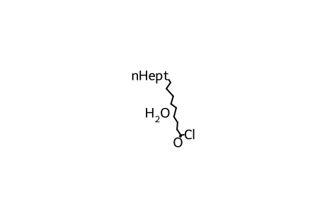 CCCCCCCCCCCCCCCC(=O)Cl.O